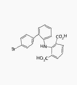 O=C(O)c1cccc(C(=O)O)c1Nc1ccccc1-c1ccc(Br)cc1